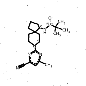 Cc1cc(C#N)nc(N2CCC3(CCC[C@H]3N[S@+]([O-])C(C)(C)C)CC2)n1